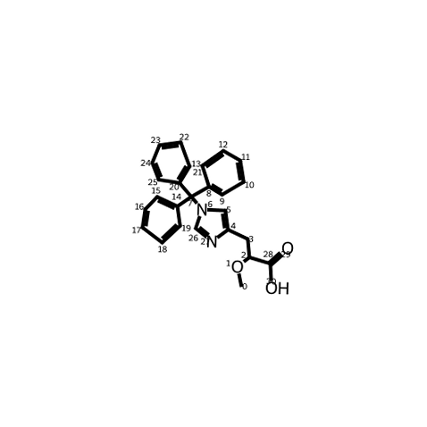 COC(Cc1cn(C(c2ccccc2)(c2ccccc2)c2ccccc2)cn1)C(=O)O